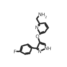 NCc1cccc(Oc2c[nH]nc2-c2ccc(F)cc2)n1